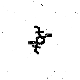 CCC(C)(C)C1=C(O)C=CC(O)(C(C)(C)CC)C1